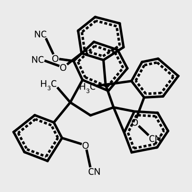 CC(CC1(C(C)(c2ccccc2OC#N)c2ccccc2OC#N)c2ccccc21)(c1ccccc1OC#N)c1ccccc1OC#N